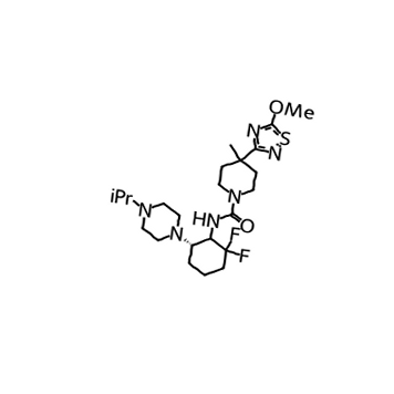 COc1nc(C2(C)CCN(C(=O)NC3[C@@H](N4CCN(C(C)C)CC4)CCCC3(F)F)CC2)ns1